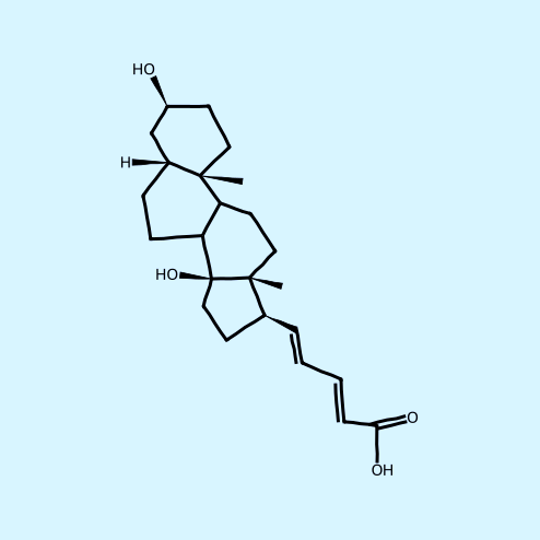 C[C@]12CC[C@H](O)C[C@H]1CCC1C2CC[C@]2(C)[C@@H](/C=C/C=C/C(=O)O)CC[C@]12O